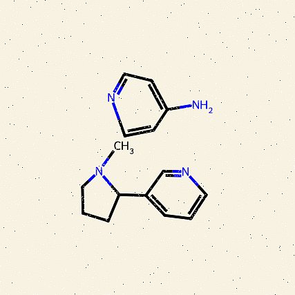 CN1CCCC1c1cccnc1.Nc1ccncc1